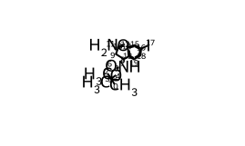 CC(C)(C)OC(=O)NC(CC(N)=O)c1ccc(I)cc1